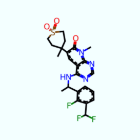 CC(Nc1ncnc2c1cc(C1(C)CCS(=O)(=O)CC1)c(=O)n2C)c1cccc(C(F)F)c1F